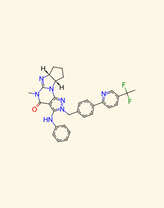 CN1C(=O)c2c(nn(Cc3ccc(-c4ccc(C(C)(F)F)cn4)cc3)c2Nc2ccccc2)N2C1=N[C@@H]1CCC[C@@H]12